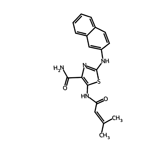 CC(C)=CC(=O)Nc1sc(Nc2ccc3ccccc3c2)nc1C(N)=O